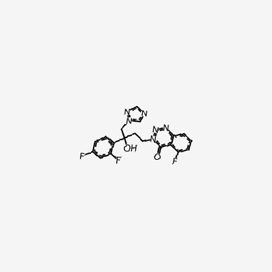 O=c1c2c(F)cccc2nnn1CCC(O)(Cn1cncn1)c1ccc(F)cc1F